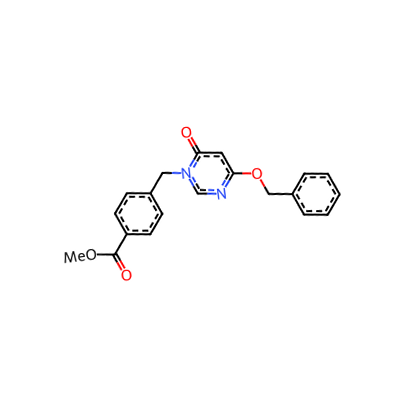 COC(=O)c1ccc(Cn2cnc(OCc3ccccc3)cc2=O)cc1